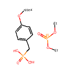 CCCCCCOc1ccc(CP(=O)(O)O)cc1.CCO[PH](=O)OCC